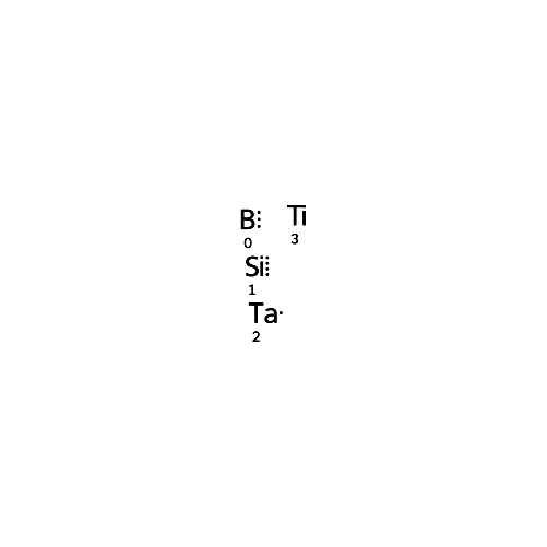 [B].[Si].[Ta].[Ti]